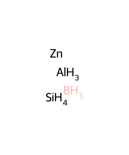 B.[AlH3].[SiH4].[Zn]